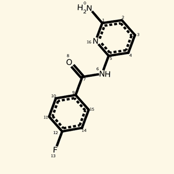 Nc1cccc(NC(=O)c2ccc(F)cc2)n1